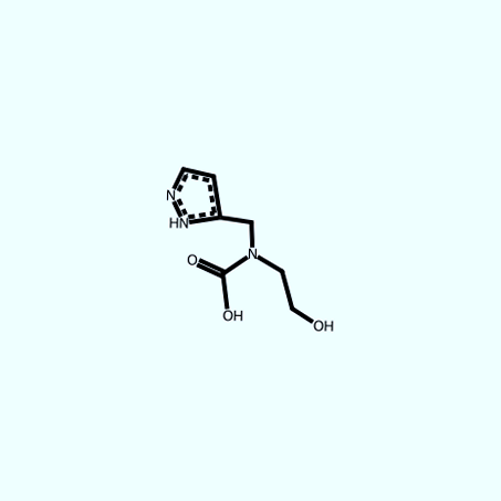 O=C(O)N(CCO)Cc1ccn[nH]1